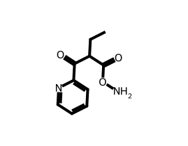 CCC(C(=O)ON)C(=O)c1ccccn1